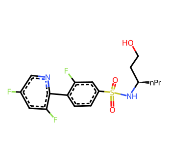 CCC[C@H](CCO)NS(=O)(=O)c1ccc(-c2ncc(F)cc2F)c(F)c1